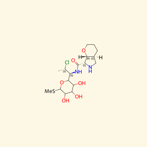 CSC1OC([C@H](NC(=O)[C@H]2NC[C@@H]3CCCO[C@H]32)[C@H](C)Cl)C(O)C(O)C1O